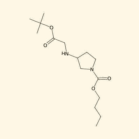 CCCCOC(=O)N1CCC(NCC(=O)OC(C)(C)C)C1